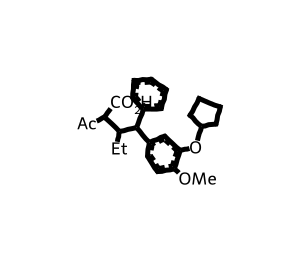 CCC(C(C(C)=O)C(=O)O)C(c1ccccc1)c1ccc(OC)c(OC2CCCC2)c1